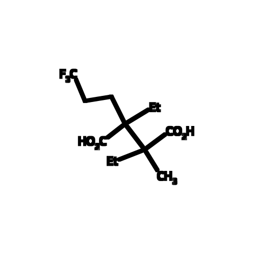 CCC(C)(C(=O)O)C(CC)(CCC(F)(F)F)C(=O)O